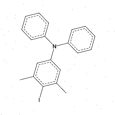 Cc1cc(N(c2ccccc2)c2ccccc2)cc(C)c1I